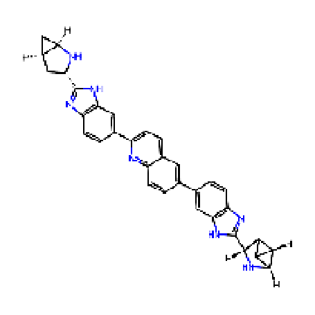 c1cc2nc(-c3ccc4nc([C@@H]5C[C@H]6C[C@H]6N5)[nH]c4c3)ccc2cc1-c1ccc2nc([C@H]3N[C@@H]4C5C3[C@@H]54)[nH]c2c1